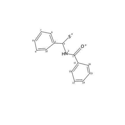 O=C(NC([S])c1ccccc1)c1ccccc1